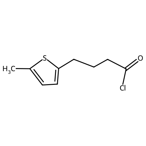 Cc1ccc(CCCC(=O)Cl)s1